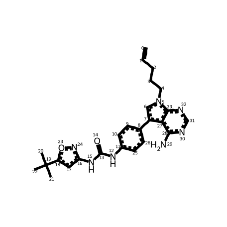 C=CCCCn1cc(-c2ccc(NC(=O)Nc3cc(C(C)(C)C)on3)cc2)c2c(N)ncnc21